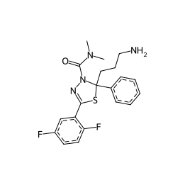 CN(C)C(=O)N1N=C(c2cc(F)ccc2F)SC1(CCCN)c1ccccc1